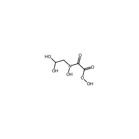 O=C(OO)C(=O)N(O)CC(O)O